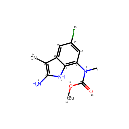 [C-]#[N+]c1c(N)[nH]c2c(N(C)C(=O)OC(C)(C)C)cc(F)cc12